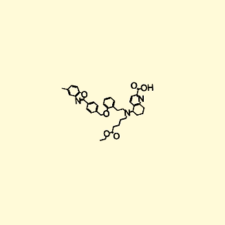 CCOC(=O)CCCCN(CCc1ccccc1OCc1ccc(-c2nc3cc(C)ccc3o2)cc1)C1CCCc2nc(C(=O)O)ccc21